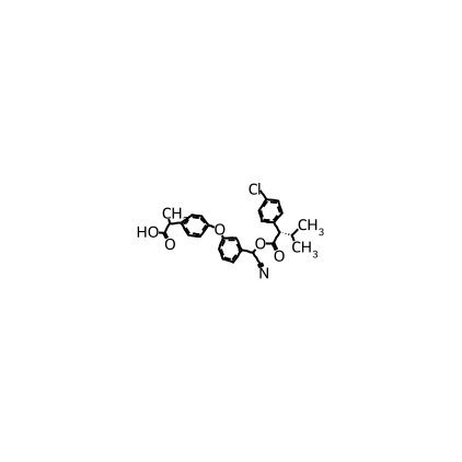 CC(C(=O)O)c1ccc(Oc2cccc(C(C#N)OC(=O)[C@H](c3ccc(Cl)cc3)C(C)C)c2)cc1